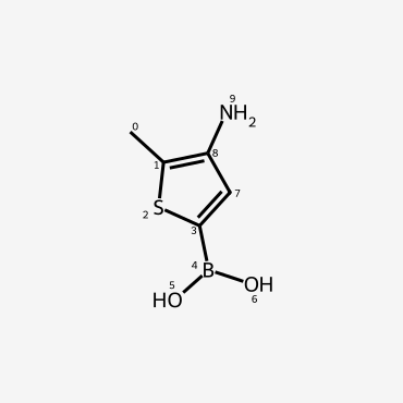 Cc1sc(B(O)O)cc1N